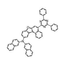 c1ccc(-c2nc(-c3ccccc3)nc(-c3cc4oc5ccc(N(c6ccc7ccccc7c6)c6ccc7ccccc7c6)cc5c4c4ccccc34)n2)cc1